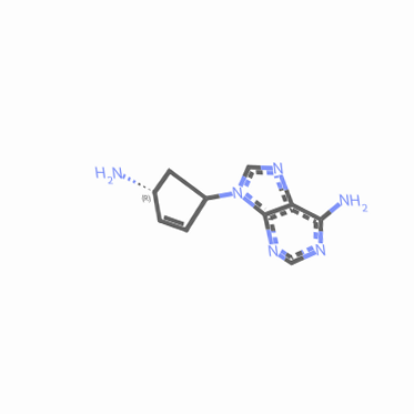 Nc1ncnc2c1ncn2C1C=C[C@H](N)C1